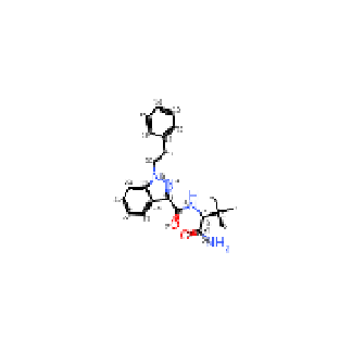 CC(C)(C)[C@H](NC(=O)c1nn(CCc2ccccc2)c2ccccc12)C(N)=O